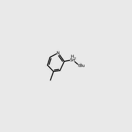 Cc1ccn[c]([SnH2][C](C)(C)C)c1